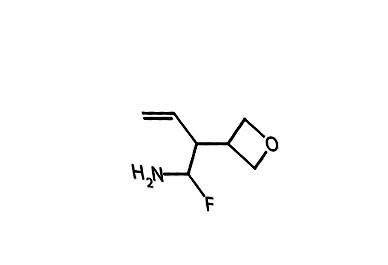 C=CC(C(N)F)C1COC1